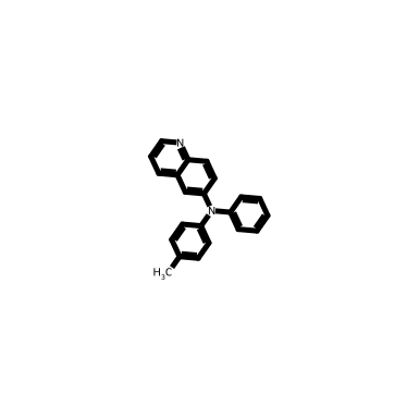 Cc1ccc(N(c2ccccc2)c2ccc3ncccc3c2)cc1